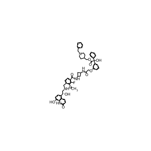 COc1c(CNC[C@H](O)c2ccc(O)c3[nH]c(=O)ccc23)ccc(C(=O)NC2CC(NC(=O)COc3cccc([C@](O)(C(=O)OCC4CCN(Cc5ccccc5)CC4)c4ccccc4)c3)C2)c1F